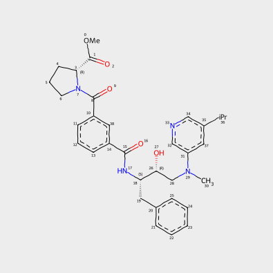 COC(=O)[C@H]1CCCN1C(=O)c1cccc(C(=O)N[C@@H](Cc2ccccc2)[C@H](O)CN(C)c2cncc(C(C)C)c2)c1